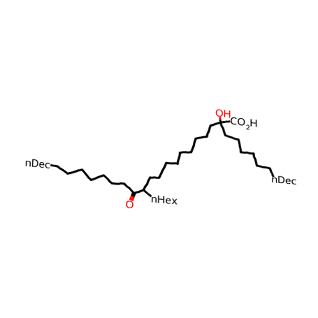 CCCCCCCCCCCCCCCCCC(=O)C(CCCCCC)CCCCCCCCCC(O)(CCCCCCCCCCCCCCCC)C(=O)O